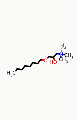 CCCCCCCCOCC(O)C[N+](C)(C)C